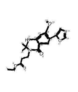 CCOC(=O)CCN1C(=O)c2cc(-c3cnco3)c(OC)cc2NC1(C)C